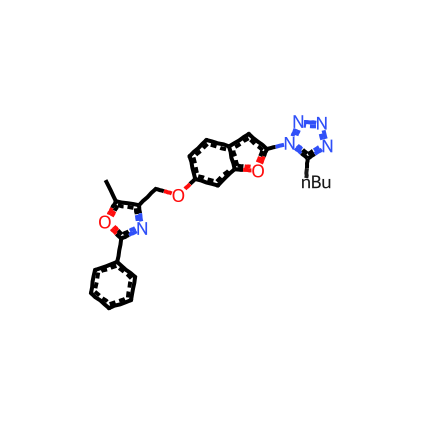 CCCCc1nnnn1-c1cc2ccc(OCc3nc(-c4ccccc4)oc3C)cc2o1